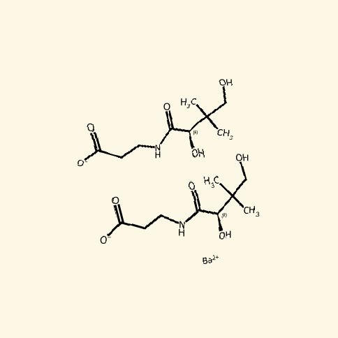 CC(C)(CO)[C@@H](O)C(=O)NCCC(=O)[O-].CC(C)(CO)[C@@H](O)C(=O)NCCC(=O)[O-].[Ba+2]